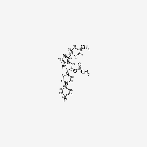 CC(=O)OC(CN1CCN(c2ccc(F)cc2)CC1)Cn1c(F)cnc1-c1ccc(C)cc1